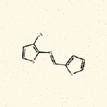 N#Cc1ccsc1N=Cc1cccs1